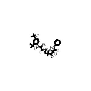 CCC(Oc1ccc(C(C)(C)CC)cc1C(C)(C)CC)C(=O)NCC(C)(C)C(=O)C(Cl)(Br)C(=O)Nc1ccccc1